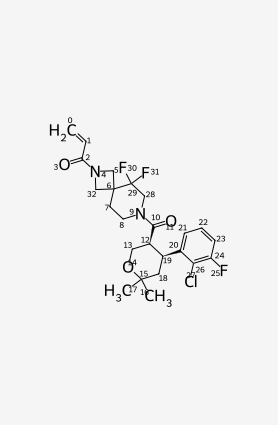 C=CC(=O)N1CC2(CCN(C(=O)[C@@H]3COC(C)(C)C[C@@H]3c3cccc(F)c3Cl)CC2(F)F)C1